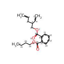 C=CCC(C=C)COC(=O)c1ccccc1C(=O)OCCCC